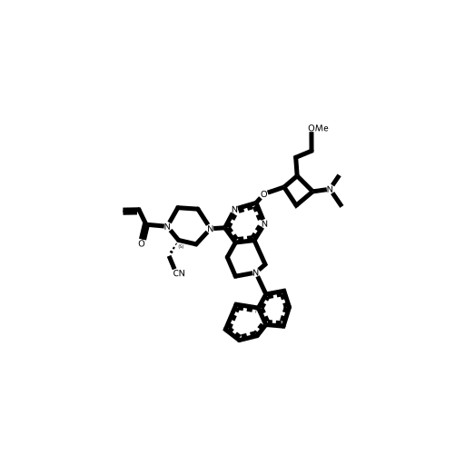 C=CC(=O)N1CCN(c2nc(OC3CC(N(C)C)C3CCOC)nc3c2CCN(c2cccc4ccccc24)C3)C[C@@H]1CC#N